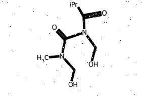 CC(C)C(=O)N(CO)C(=O)N(C)CO